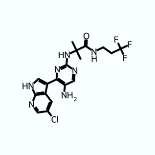 CC(C)(Nc1ncc(N)c(-c2c[nH]c3ncc(Cl)cc23)n1)C(=O)NCCC(F)(F)F